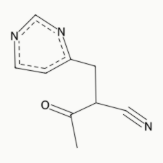 CC(=O)C(C#N)Cc1ccncn1